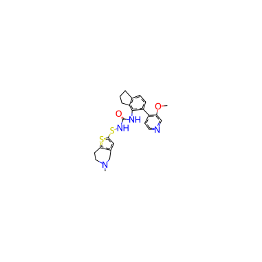 COc1cnccc1-c1ccc2c(c1NC(=O)NSc1cc3c(s1)CCN(C)C3)CCC2